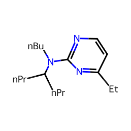 CCCCN(c1nccc(CC)n1)C(CCC)CCC